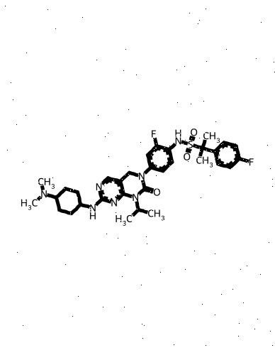 CC(C)N1C(=O)N(c2ccc(NS(=O)(=O)C(C)(C)c3ccc(F)cc3)c(F)c2)Cc2cnc(NC3CCC(N(C)C)CC3)nc21